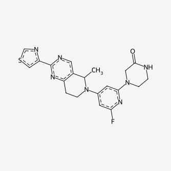 CC1c2cnc(-c3cscn3)nc2CCN1c1cc(F)nc(N2CCNC(=O)C2)c1